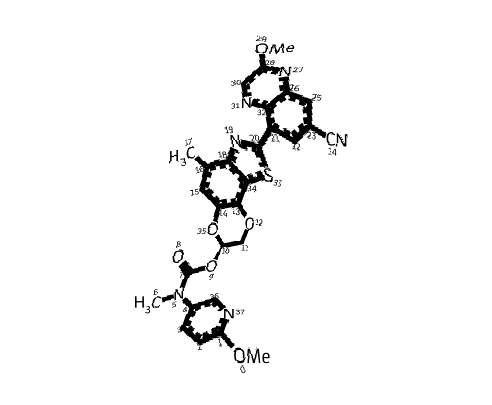 COc1ccc(N(C)C(=O)O[C@@H]2COc3c(cc(C)c4nc(-c5cc(C#N)cc6nc(OC)cnc56)sc34)O2)cn1